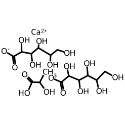 CC(O)C(=O)O.O=C([O-])C(O)C(O)C(O)C(O)CO.O=C([O-])C(O)C(O)C(O)C(O)CO.[Ca+2]